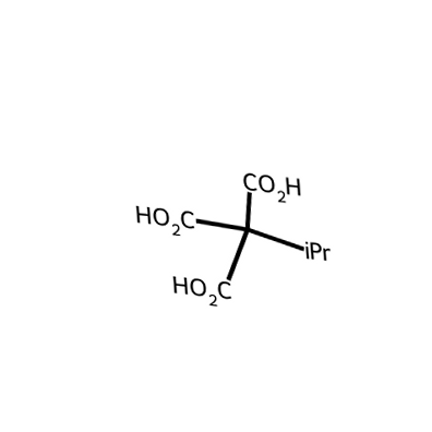 CC(C)C(C(=O)O)(C(=O)O)C(=O)O